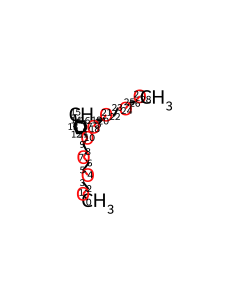 COCCOCCOCCOc1ccc(C)cc1OCCOCCOCCOC